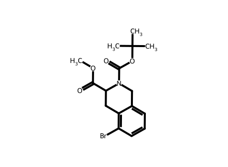 COC(=O)C1Cc2c(Br)cccc2CN1C(=O)OC(C)(C)C